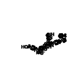 CC(C)c1ccccc1[C@@H]1CCCN1C1CC2(CCN(c3cc(Oc4cnc5[nH]ccc5c4)c(C(=O)NS(=O)(=O)c4ccc(NCC5(F)CCN(C(C)CO)CC5)c([N+](=O)[O-])c4)cn3)CC2)C1